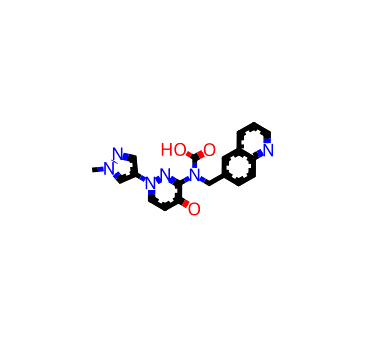 Cn1cc(-n2ccc(=O)c(N(Cc3ccc4ncccc4c3)C(=O)O)n2)cn1